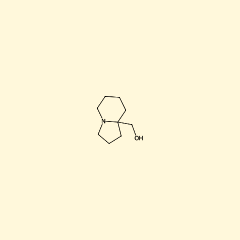 OCC12CCCCN1CCC2